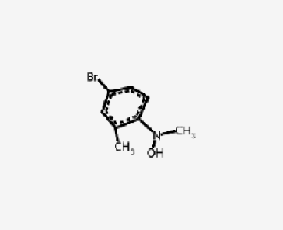 Cc1cc(Br)ccc1N(C)O